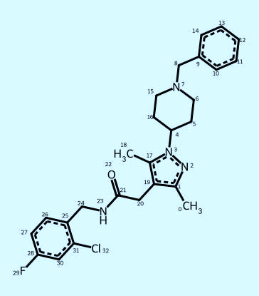 Cc1nn(C2CCN(Cc3ccccc3)CC2)c(C)c1CC(=O)NCc1ccc(F)cc1Cl